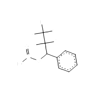 O=S(O)OC(c1ccccc1)C(F)(F)C(F)(F)F